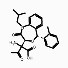 CC(=O)C(N)(C(=O)O)[C@@H]1O[C@@H](c2ccccc2C)c2ccccc2N(CC(C)C)C1=O